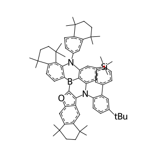 CC(C)(C)c1ccc(N2c3cc([Si](C)(C)C)cc4c3B(c3ccc5c(c3N4c3ccc4c(c3)C(C)(C)CCC4(C)C)C(C)(C)CCC5(C)C)c3oc4cc5c(cc4c32)C(C)(C)CCC5(C)C)c(-c2ccccc2)c1